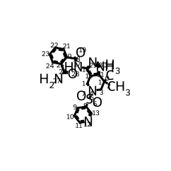 CC1(C)CN(S(=O)(=O)c2cccnc2)Cc2c(NC(=O)c3ccccc3C(N)=O)n[nH]c21